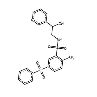 O=S(=O)(NCC(O)c1cccnc1)c1cc(S(=O)(=O)c2ccccc2)ccc1C(F)(F)F